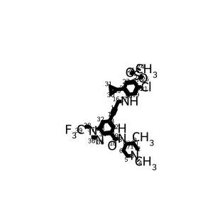 C[C@H]1CN(C)CC[C@@H]1NC(=O)c1cc(C#CCNc2cc(Cl)c(S(C)(=O)=O)cc2C2CC2)cc2c1ncn2CC(F)(F)F